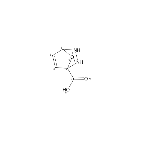 O=C(O)C12C=CC(NN1)O2